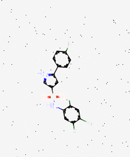 O=S(=O)(Nc1cc(F)c(Br)cc1F)c1c[nH]c(-c2ccc(F)cc2)c1